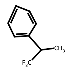 CC(c1ccccc1)C(F)(F)F